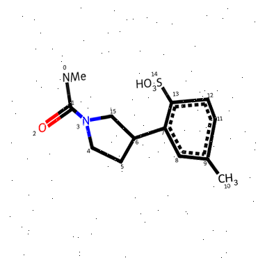 CNC(=O)N1CCC(c2cc(C)ccc2S(=O)(=O)O)C1